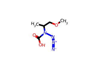 COCC(C)N(N=[N+]=[N-])C(=O)O